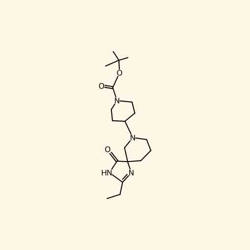 CCC1=NC2(CCCN(C3CCN(C(=O)OC(C)(C)C)CC3)C2)C(=O)N1